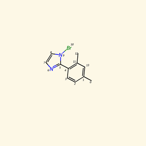 Cc1ccc(-c2nccn2Br)c(C)c1